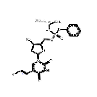 CCOC(=O)[C@H](C)NP(=O)(OCC1OC(n2cc(/C=C/Br)c(=O)[nH]c2=O)CC1O)Oc1ccccc1